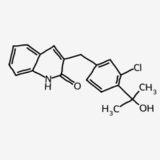 CC(C)(O)c1ccc(Cc2cc3ccccc3[nH]c2=O)cc1Cl